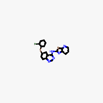 Fc1ccccc1Sc1ccc2ncnc(Nc3nc4cccnc4s3)c2c1